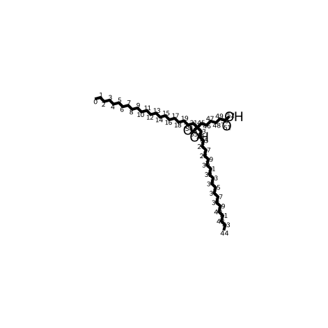 CCCCCCCCCCCCCCCCCCCCCCC(CCCCCCCCCCCCCCCCCCCCCC)(CCCCCC(=O)O)C(=O)O